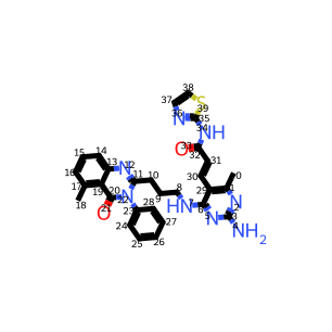 Cc1nc(N)nc(NCCCc2nc3cccc(C)c3c(=O)n2-c2ccccc2)c1/C=C/C(=O)Nc1nccs1